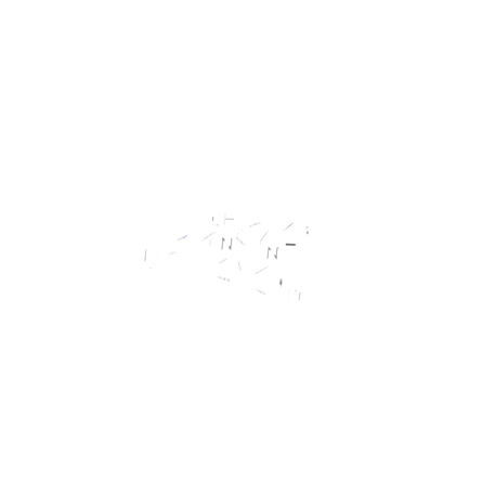 C=C/C=C\C=C(/C)n1c2ccccc2c2c1ccc1c3ccccc3n(-c3cccc(Br)c3)c12